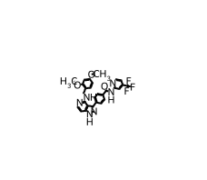 COc1ccc(CNc2nccc3[nH]nc(-c4ccc(C(=O)Nc5cc(C(F)(F)F)ccn5)cc4)c23)c(OC)c1